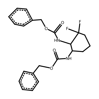 O=C(NC1CCCC(F)(F)C1NC(=O)OCc1ccccc1)OCc1ccccc1